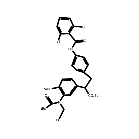 CCOC(=O)C(Cc1ccc(NC(=O)c2c(Cl)cccc2Cl)cc1)c1ccc(OC)c(N(CC(C)C)C(=O)C(C)(C)C)c1